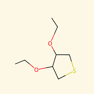 CCOC1CSCC1OCC